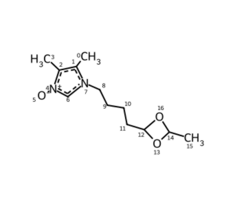 Cc1c(C)[n+]([O-])cn1CCCCC1OC(C)O1